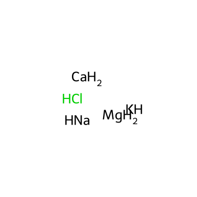 Cl.[CaH2].[KH].[MgH2].[NaH]